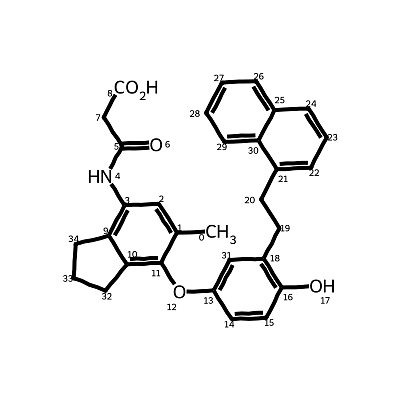 Cc1cc(NC(=O)CC(=O)O)c2c(c1Oc1ccc(O)c(CCc3cccc4ccccc34)c1)CCC2